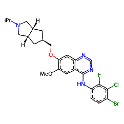 COc1cc2c(Nc3ccc(Br)c(Cl)c3F)ncnc2cc1OC[C@H]1C[C@@H]2CN(C(C)C)C[C@@H]2C1